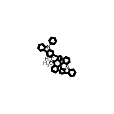 CC1(C)c2ccccc2C2(c3ccccc3-n3c4ccccc4c4cccc2c43)c2cccc(-c3ccc4c5ccccc5n(-c5ccccc5)c4c3)c21